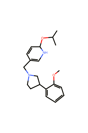 COc1ccccc1C1CCN(CC2=CNC(OC(C)C)C=C2)C1